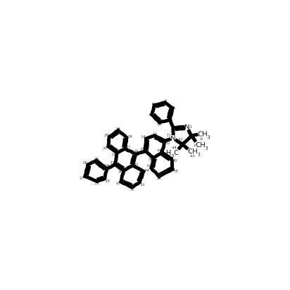 CC1(C)N=C(c2ccccc2)N(c2ccc(-c3c4ccccc4c(-c4ccccc4)c4ccccc34)c3ccccc23)C1(C)C